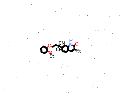 CCOc1ccccc1OCCC(C)(C#N)c1ccc2cc(CC)c(=O)[nH]c2c1